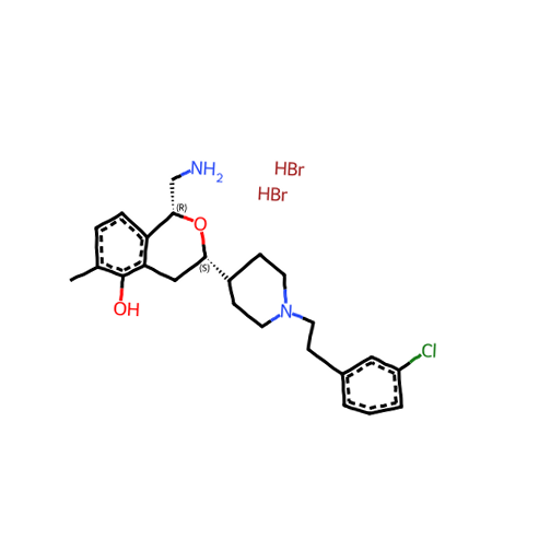 Br.Br.Cc1ccc2c(c1O)C[C@@H](C1CCN(CCc3cccc(Cl)c3)CC1)O[C@H]2CN